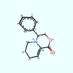 O=C1OCC(c2ccccc2)N2CCCC=C12